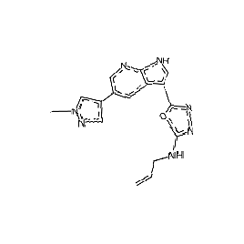 C=CCNc1nnc(-c2c[nH]c3ncc(-c4cnn(C)c4)cc23)o1